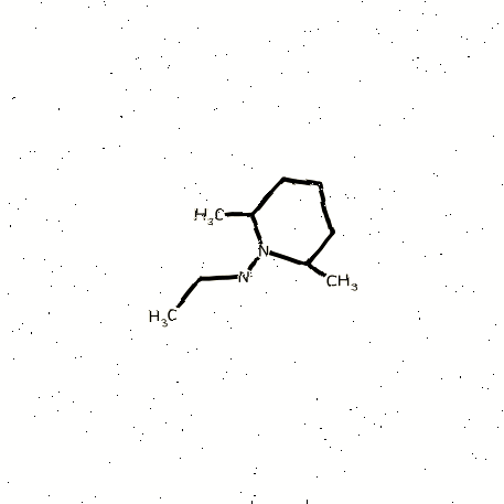 CC[N]N1C(C)CCCC1C